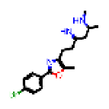 CNC(C)CC(=N)CCc1nc(-c2ccc(Br)cc2)oc1C